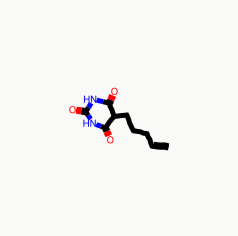 C=CCCCC1C(=O)NC(=O)NC1=O